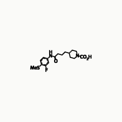 CSc1ccc(NC(=O)CCCC2CCN(C(=O)O)CC2)cc1F